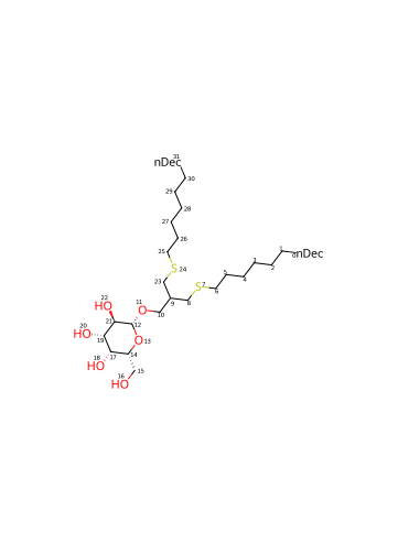 CCCCCCCCCCCCCCCCSCC(CO[C@@H]1O[C@H](CO)[C@H](O)[C@H](O)[C@H]1O)CSCCCCCCCCCCCCCCCC